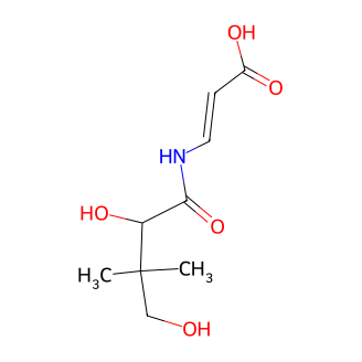 CC(C)(CO)C(O)C(=O)NC=CC(=O)O